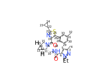 CCn1nc(C)cc1C(=O)NC[C@@H]1[C@H]2C[C@H]2CN1C(=O)c1nc(C2CC2)sc1-c1cccc(C)c1